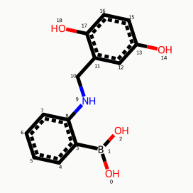 OB(O)c1ccccc1NCc1cc(O)ccc1O